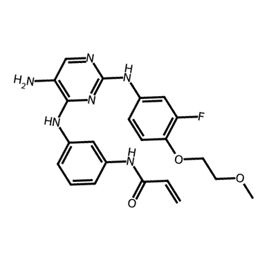 C=CC(=O)Nc1cccc(Nc2nc(Nc3ccc(OCCOC)c(F)c3)ncc2N)c1